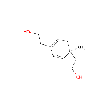 CC1(CCO)C=CC(CCO)=CC1